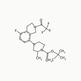 CC1CN(c2ccc(F)c3c2CN(C(=O)C(F)(F)F)CC3)CCN1C(=O)OC(C)(C)C